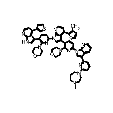 Cc1ccsc1-c1ccnc2c1c(-c1ccc(-n3cc(-c4cccc(N5CCCNCC5)n4)c4cccnc43)nc1N1CCOCC1)cn2-c1ccc(-c2c[nH]c3nccc(-c4ccsc4)c23)c(N2CCOCC2)n1